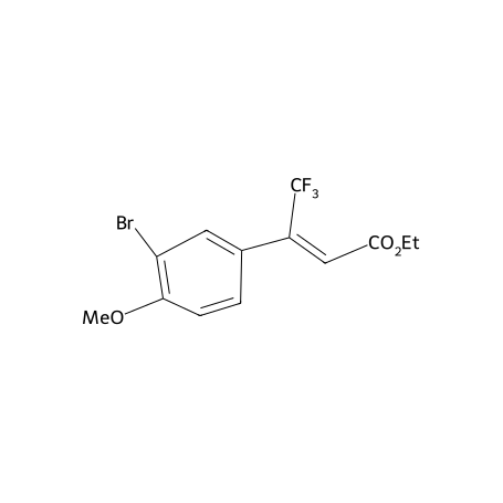 CCOC(=O)/C=C(/c1ccc(OC)c(Br)c1)C(F)(F)F